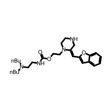 CCCCN(CCCC)CCNC(=O)OCCN1CCNCC1=Cc1cc2ccccc2o1